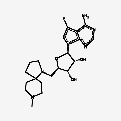 CN1CCC2(CCCN2C[C@H]2O[C@@H](n3cc(F)c4c(N)ncnc43)[C@H](O)[C@@H]2O)CC1